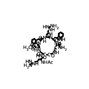 CC(=O)N[C@@H](CCCNC(=N)N)C(=O)N[C@H]1CCCC(=O)NCC[C@@H](C(N)=O)NC(=O)[C@H](Cc2c[nH]c3ccccc23)NC(=O)[C@H](CCCNC(=N)N)NC(=O)C(Cc2ccccc2)NC(=O)[C@H](CCS(C)(=O)=O)NC1=O